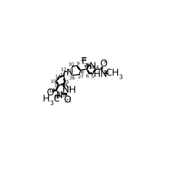 CNC(=O)c1ccc(C2=CCN(Cc3ccc4c(=O)n(C)c(=O)[nH]c4c3)CC2)c(F)n1